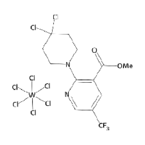 COC(=O)c1cc(C(F)(F)F)cnc1N1CCC(Cl)(Cl)CC1.[Cl][W]([Cl])([Cl])([Cl])([Cl])[Cl]